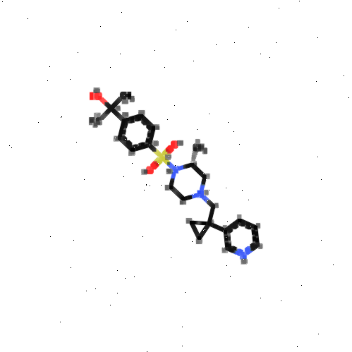 C[C@@H]1CN(CC2(c3cccnc3)CC2)CCN1S(=O)(=O)c1ccc(C(C)(O)C(F)(F)F)cc1